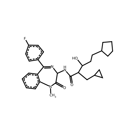 CN1C(=O)C(NC(=O)C(CC2CC2)C(O)CCC2CCCC2)N=C(c2ccc(F)cc2)c2ccccc21